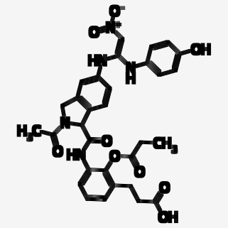 CCC(=O)Oc1c(CCC(=O)O)cccc1NC(=O)C1c2ccc(NC(=C[N+](=O)[O-])Nc3ccc(O)cc3)cc2CN1C(C)=O